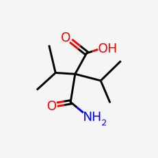 CC(C)C(C(N)=O)(C(=O)O)C(C)C